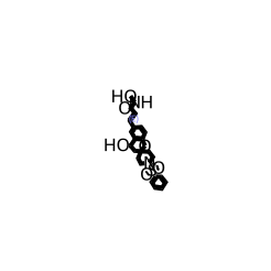 O=C(/C=C/c1ccc2c(c1)C(O)CC1(CCN(S(=O)(=O)c3ccccc3)CC1)O2)NO